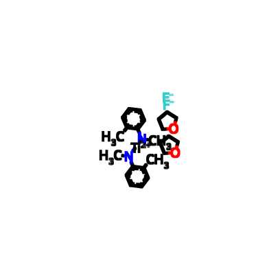 C1CCOC1.C1CCOC1.Cc1ccccc1[N](C)[Ti+2][N](C)c1ccccc1C.[F-].[F-]